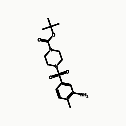 Cc1ccc(S(=O)(=O)N2CCN(C(=O)OC(C)(C)C)CC2)cc1N